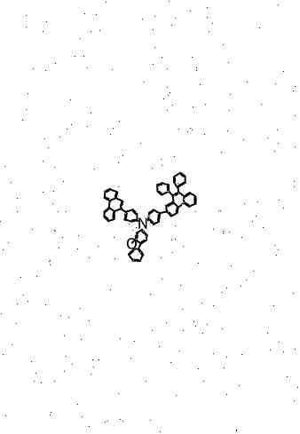 c1ccc(-c2c(-c3ccccc3)c3cc(-c4ccc(N(c5ccc(-c6cc7ccccc7c7ccccc67)cc5)c5ccc6c(c5)oc5ccccc56)cc4)ccc3c3ccccc23)cc1